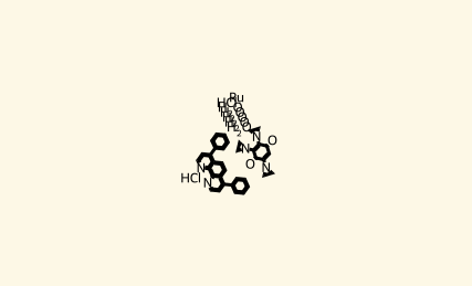 Cl.Cl.O.O.O.O.O.O=C1C=C(N2CC2)C(=O)C(N2CC2)=C1N1CC1.[Ru].c1ccc(-c2ccnc3c2ccc2c(-c4ccccc4)ccnc23)cc1